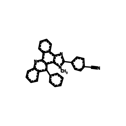 Cn1c(-c2ccc(C#N)cc2)nc2c3ccccc3c3nc4ccccc4c(-c4ccccc4)c3c21